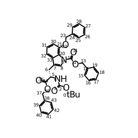 CC(C)(C)OC(=O)N[C@@H](Cc1cn(C(=O)OCc2ccccc2)c2c(OCc3ccccc3)cccc12)C(=O)OCc1ccccc1